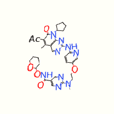 CC(=O)c1c(C)c2cnc(Nc3ccc(OCCN(C)c4ncc(C(=O)NOC5CCCCO5)cn4)cn3)nc2n(C2CCCC2)c1=O